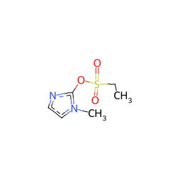 CCS(=O)(=O)Oc1nccn1C